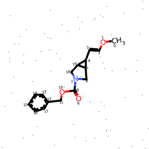 COC=CC1C2CN(C(=O)OCc3ccccc3)CC12